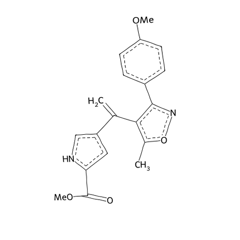 C=C(c1c[nH]c(C(=O)OC)c1)c1c(-c2ccc(OC)cc2)noc1C